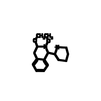 COC1Cc2ccccc2C(C2CCCC[N]2)N1OC